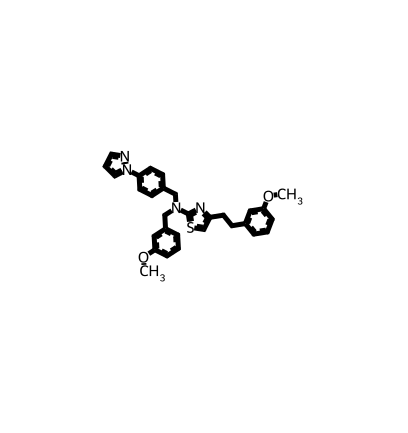 COc1cccc(CCc2csc(N(Cc3ccc(-n4cccn4)cc3)Cc3cccc(OC)c3)n2)c1